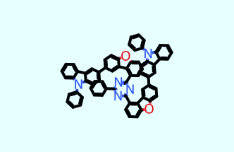 c1ccc(-c2nc(-c3cccc4oc5ccc(-c6ccc7c(c6)c6ccccc6n7-c6ccccc6)cc5c34)nc(-c3cccc4oc5ccc(-c6ccc7c(c6)c6ccccc6n7-c6ccccc6)cc5c34)n2)cc1